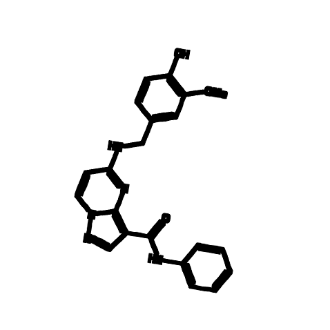 COc1cc(CNc2ccn3ncc(C(=O)Nc4ccccc4)c3n2)ccc1O